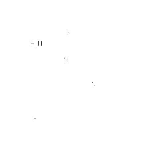 Nc1nc(C2CCCN2c2ccc(F)cc2)cs1